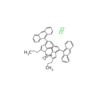 CCCC1=Cc2c(-c3c4ccccc4cc4ccccc34)cccc2[CH]1[Zr+2]1([CH]2C(CCC)=Cc3c(-c4c5ccccc5cc5ccccc45)cccc32)[CH2][CH2]1.[Cl-].[Cl-]